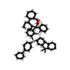 CC1(C)c2ccccc2-c2ccc(N(c3ccc(-c4ccccc4)cc3)c3cccc4c3Sc3ccccc3C43c4ccccc4-c4ccccc4-c4ccccc43)cc21